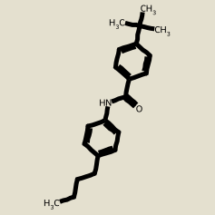 CCCCc1ccc(NC(=O)c2ccc(C(C)(C)C)cc2)cc1